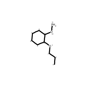 CCCOC1CCCCC1OP